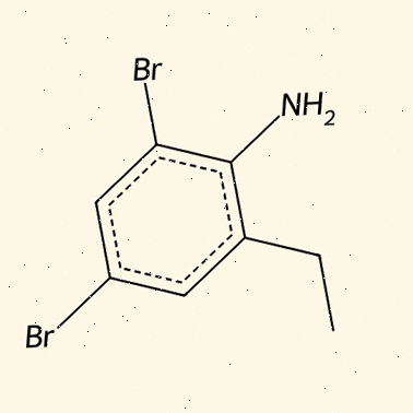 CCc1cc(Br)cc(Br)c1N